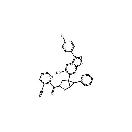 Cc1cc2c(cnn2-c2ccc(F)cc2)cc1C12CN(C(=O)c3ncccc3C#N)CC1C2c1ccccc1